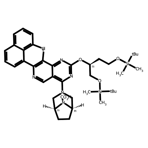 CC(C)(C)[Si](C)(C)OCC[C@@H](CO[Si](C)(C)C(C)(C)C)Oc1nc(N2C[C@H]3CC[C@@H](C2)N3C(=O)O)c2cnc(-c3cccc4cccc(Cl)c34)c(F)c2n1